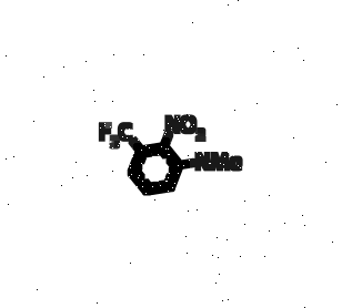 CNc1cccc(C(F)(F)F)c1[N+](=O)[O-]